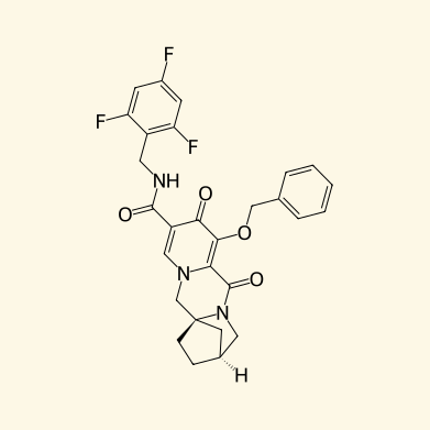 O=C(NCc1c(F)cc(F)cc1F)c1cn2c(c(OCc3ccccc3)c1=O)C(=O)N1C[C@H]3CC[C@@]1(C3)C2